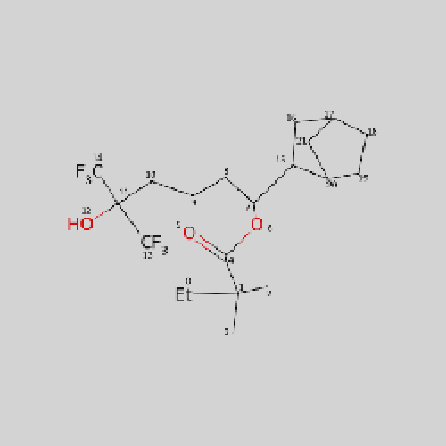 CCC(C)(C)C(=O)OC(CCCC(O)(C(F)(F)F)C(F)(F)F)C1CC2CCC1C2